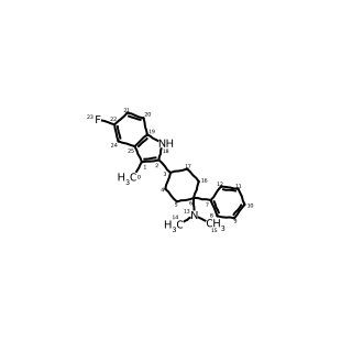 Cc1c(C2CCC(c3ccccc3)(N(C)C)CC2)[nH]c2ccc(F)cc12